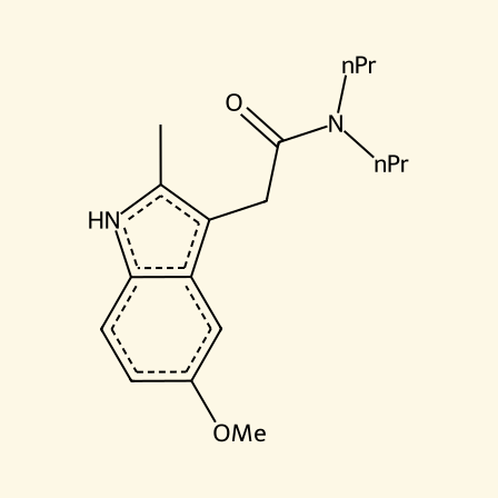 CCCN(CCC)C(=O)Cc1c(C)[nH]c2ccc(OC)cc12